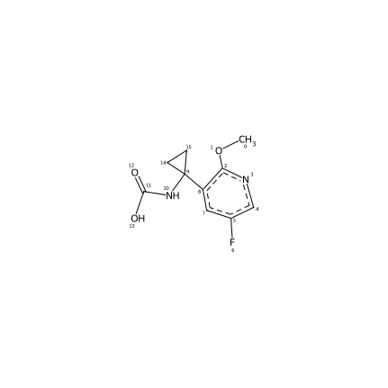 COc1ncc(F)cc1C1(NC(=O)O)CC1